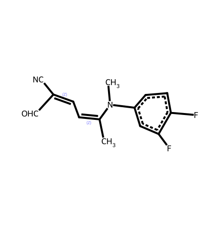 C/C(=C/C=C(/C#N)C=O)N(C)c1ccc(F)c(F)c1